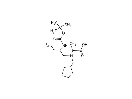 CCC(CN(CC1CCCC1)C(C)C(=O)O)NC(=O)OC(C)(C)C